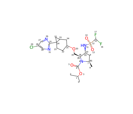 CC(C)OC(=O)N1[C@H](C)C[C@H](NS(=O)(=O)C(F)F)[C@@H]1COC1CCC2(c3ncc(Cl)cn3)CC2C1